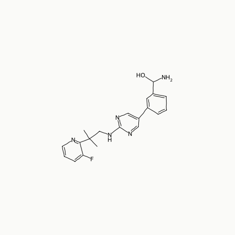 CC(C)(CNc1ncc(-c2cccc(C(N)O)c2)cn1)c1ncccc1F